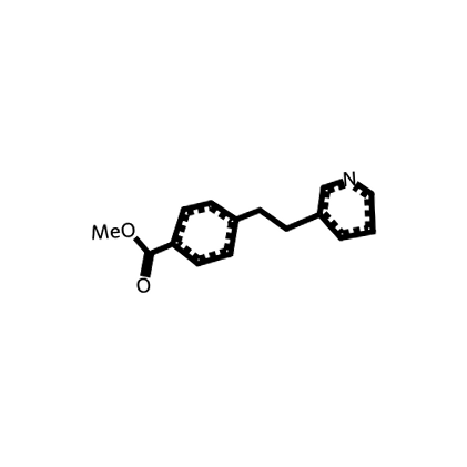 COC(=O)c1ccc(CCc2cccnc2)cc1